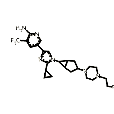 Nc1ncc(-c2cn(C3C4CC(N5CCN(CCF)CC5)CC43)c(C3CC3)n2)cc1C(F)(F)F